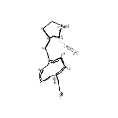 O=C(O)[C@H]1NCCC1Cc1ccc(Br)cc1